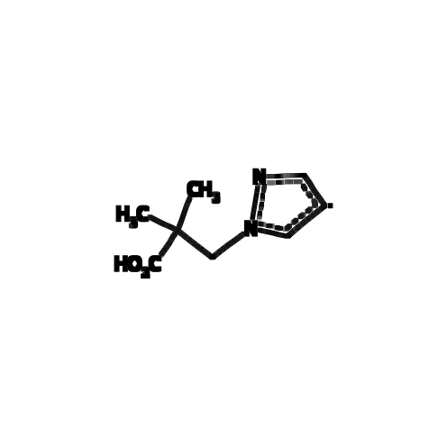 CC(C)(Cn1c[c]cn1)C(=O)O